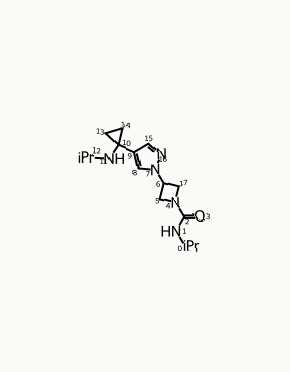 CC(C)NC(=O)N1CC(n2cc(C3(NC(C)C)CC3)cn2)C1